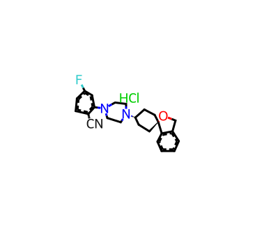 Cl.N#Cc1ccc(F)cc1N1CCN([C@H]2CC[C@@]3(CC2)OCc2ccccc23)CC1